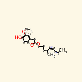 C=C(/C=C\C=C/C)CCCOC(=O)Cc1ccc(O)c(OC)c1